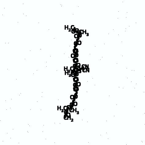 C=CC(=O)OCC(C)OC(=O)CCC(=O)OCCc1ccc(OC(=O)[C@H]2CC[C@H](C(=O)Oc3c(C)c(C)c(OC(=O)[C@H]4CC[C@H](C(=O)Oc5ccc(CCOC(=O)CCC(=O)OCC(C)OC(C)COC(=O)C=C)cc5)CC4)c4c3SC(=C(C#N)C#N)S4)CC2)cc1